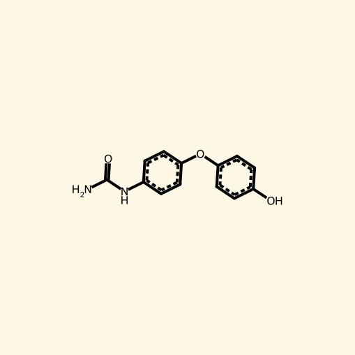 NC(=O)Nc1ccc(Oc2ccc(O)cc2)cc1